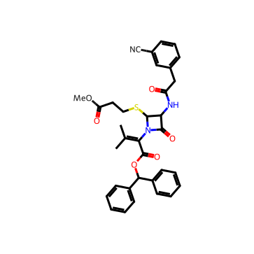 COC(=O)CCSC1C(NC(=O)Cc2cccc(C#N)c2)C(=O)N1C(C(=O)OC(c1ccccc1)c1ccccc1)=C(C)C